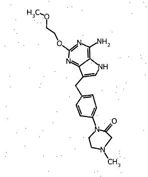 COCCOc1nc(N)c2[nH]cc(Cc3ccc(N4CCN(C)CC4=O)cc3)c2n1